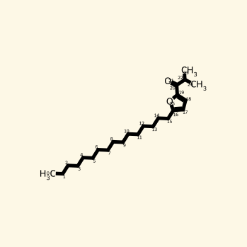 CCCCCCCCCCCCCCCCc1ccc(C(=O)C(C)C)o1